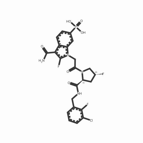 NC(=O)c1c(F)n(CC(=O)N2C[C@H](F)C[C@H]2C(=O)NCc2cccc(Cl)c2F)c2cc(P(=O)(O)O)ccc12